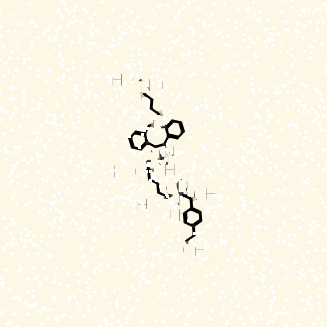 CCCc1ccc(C(C)C(=O)NC(C)(C)CCCC(C)(C)CN2N=NC3c4ccccc4N(C(=O)CCC(=O)NC)Cc4ccccc4C32)cc1